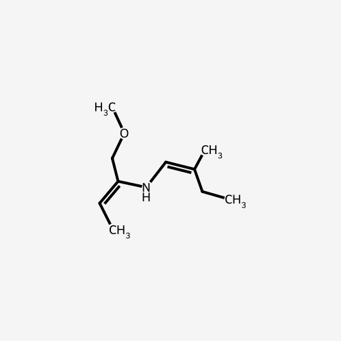 C/C=C(/COC)N/C=C(/C)CC